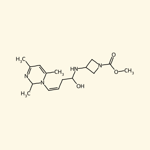 COC(=O)N1CC(NC(O)C/C=C\N2C(C)=CC(C)=NC2C)C1